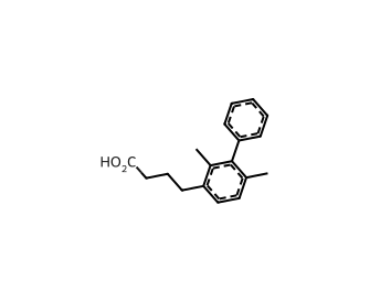 Cc1ccc(CCCC(=O)O)c(C)c1-c1ccccc1